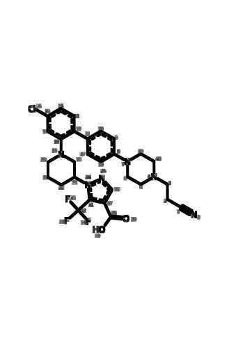 N#CCCN1CCN(c2ccc(-c3ccc(Cl)cc3N3CCCC(n4ncc(C(=O)O)c4C(F)(F)F)C3)cc2)CC1